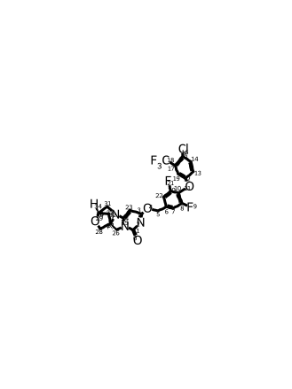 O=c1nc(OCc2cc(F)c(Oc3ccc(Cl)c(C(F)(F)F)c3)c(F)c2)cc2n1C[C@]13CO[C@H](CN21)C3